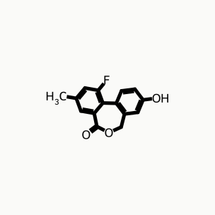 Cc1cc(F)c2c(c1)C(=O)OCc1cc(O)ccc1-2